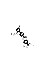 COc1ccc(F)cc1-c1ccc(C(=O)Nc2ccc(C(C)C)cc2)cn1